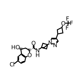 O=C(NC12CC(n3cc(C4CC(OC(F)(F)F)C4)cn3)(C1)C2)[C@H]1C[C@@H](O)c2cc(Cl)ccc2O1